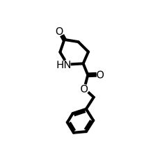 O=C1CCC(C(=O)OCc2ccccc2)NC1